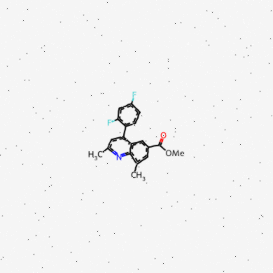 COC(=O)c1cc(C)c2nc(C)cc(-c3ccc(F)cc3F)c2c1